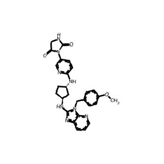 COc1ccc(Cn2c(N[C@H]3CC[C@H](Nc4ccc(N5C(=O)CNC5=O)cn4)C3)nc3cccnc32)cc1